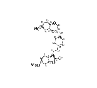 COc1ccc2c(c1)oc(=O)n2CCC1CCN(C[C@H]2COc3ccc(C#N)cc3O2)CC1